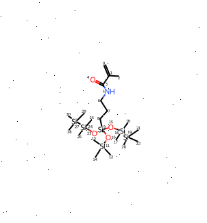 C=C(C)C(=O)NCCC[Si](O[Si](C)(C)C)(O[Si](C)(C)[Si](C)(C)C)O[Si](C)(C)[Si](C)(C)C